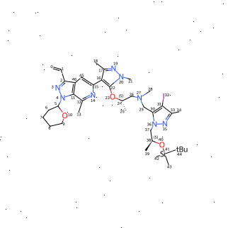 C=Cc1nn(C2CCCCO2)c2c(C)nc(-c3c(C)nn(C)c3O[C@@H](C)CN(C)Cc3c(I)c(C)nn3C[C@H](C)O[Si](C)(C)C(C)(C)C)cc12